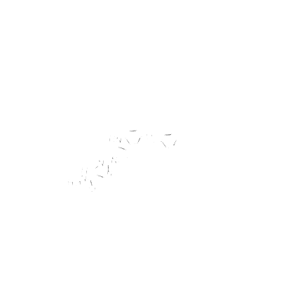 O=C(NO)c1cnc(N2CCc3c([nH]c4ccc(OCc5ccccc5)cc34)C2)nc1